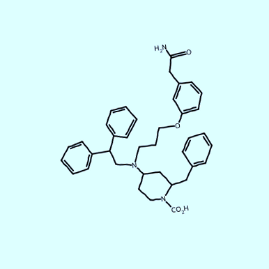 NC(=O)Cc1cccc(OCCCN(CC(c2ccccc2)c2ccccc2)C2CCN(C(=O)O)C(Cc3ccccc3)C2)c1